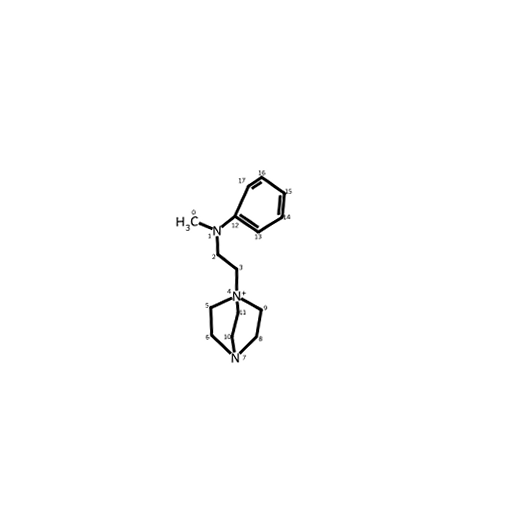 CN(CC[N+]12CCN(CC1)CC2)c1ccccc1